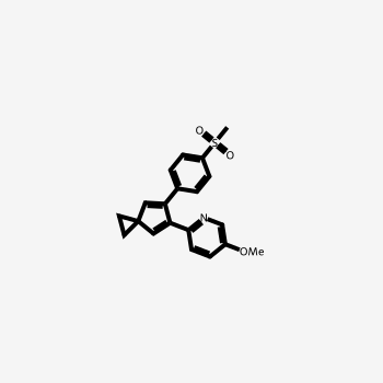 COc1ccc(C2=CC3(C=C2c2ccc(S(C)(=O)=O)cc2)CC3)nc1